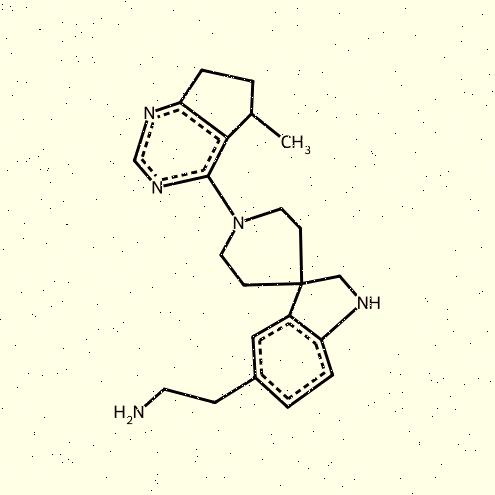 CC1CCc2ncnc(N3CCC4(CC3)CNc3ccc(CCN)cc34)c21